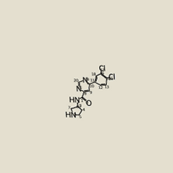 O=C(N[C@H]1CCNC1)c1cc(-c2ccc(Cl)c(Cl)c2)ncn1